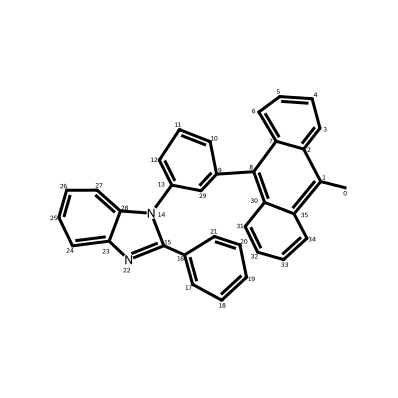 Cc1c2ccccc2c(-c2cccc(-n3c(-c4ccccc4)nc4ccccc43)c2)c2ccccc12